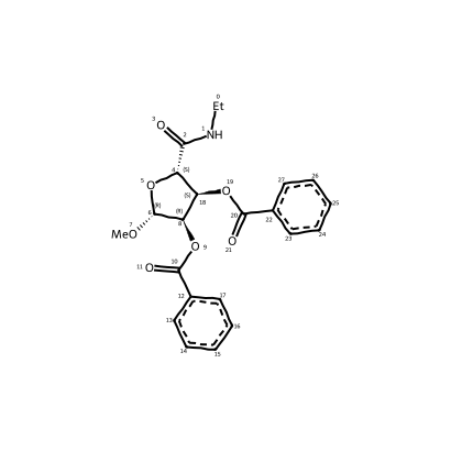 CCNC(=O)[C@H]1O[C@@H](OC)[C@H](OC(=O)c2ccccc2)[C@@H]1OC(=O)c1ccccc1